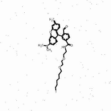 C=c1ccc2c(c1)Oc1cc(N(C)C)ccc1C=2c1cc(C(=O)NCCOCCOCCCCCCI)ccc1C=O